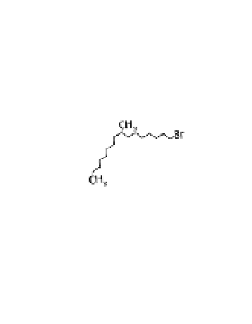 CCCCCCCCC(C)CCCCCCCBr